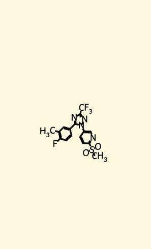 Cc1cc(-c2nc(C(F)(F)F)nn2-c2ccc(S(C)(=O)=O)nc2)ccc1F